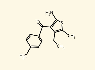 CCc1c(C)sc(N)c1C(=O)c1ccc(C)cc1